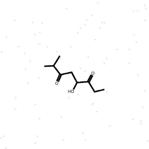 CCC(=O)C(O)CC(=O)C(C)C